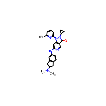 CN(C)C1Cc2ccc(Nc3cc4c(cn3)c(=O)n(C3CC3)n4-c3cccc(C(C)(C)C)n3)cc2C1